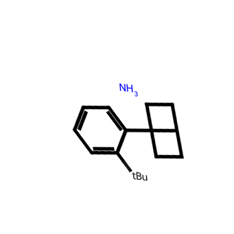 CC(C)(C)c1ccccc1C12CCC1CC2.N